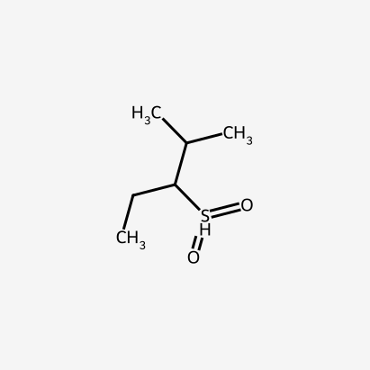 CCC(C(C)C)[SH](=O)=O